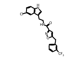 O=C(NCCc1c[nH]c2ccc(Cl)cc12)c1cc(Cc2cccc(C(F)(F)F)c2)on1